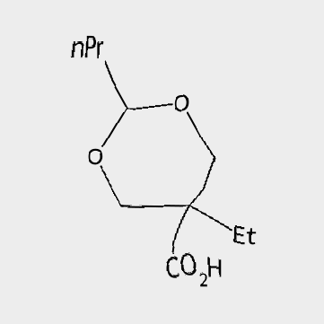 CCCC1OCC(CC)(C(=O)O)CO1